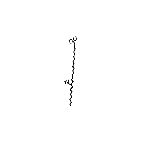 CCCCCCCCCC(CCCCCCC=CCCCCCCCCCC(=O)OC)CN(C)C